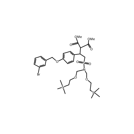 COC(=O)C(C(=O)OC)C(CS(=O)(=O)N(COCC[Si](C)(C)C)COCC[Si](C)(C)C)c1ccc(OCc2cccc(Br)c2)cc1